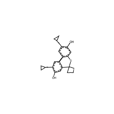 Oc1cc2c(cc1C1CC1)-c1cc(C3CC3)c(O)cc1C1(CCC1)O2